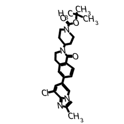 Cc1cn2cc(-c3ccc4c(c3)CCN(C3CCN(C(=O)OC(C)(C)C)CC3)C4=O)cc(Cl)c2n1